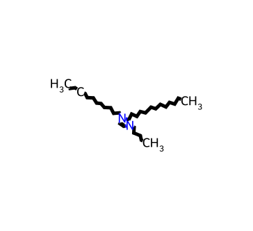 CCCCCCCCCCCCCN1C=CN(CCCCC)C1CCCCCCCCCCCC